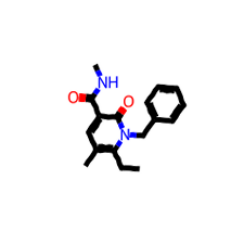 CCc1c(C)cc(C(=O)NC)c(=O)n1Cc1ccccc1